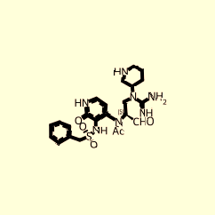 CC(=O)N(c1cc[nH]c(=O)c1NS(=O)(=O)Cc1ccccc1)[C@H](C=O)CN(C(=N)N)C1CCCNC1